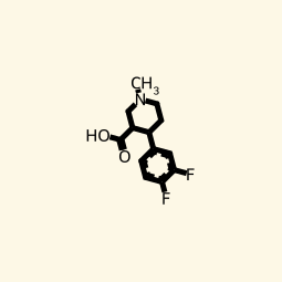 CN1CCC(c2ccc(F)c(F)c2)C(C(=O)O)C1